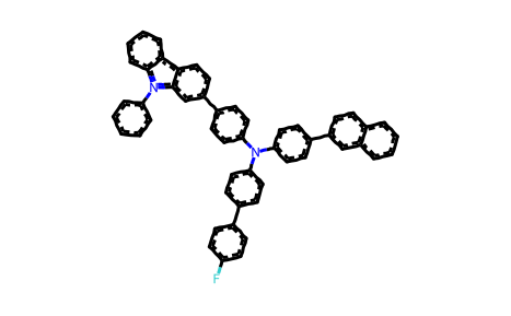 Fc1ccc(-c2ccc(N(c3ccc(-c4ccc5ccccc5c4)cc3)c3ccc(-c4ccc5c6ccccc6n(-c6ccccc6)c5c4)cc3)cc2)cc1